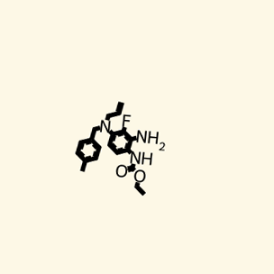 C=CCN(Cc1ccc(C)cc1)c1ccc(NC(=O)OCC)c(N)c1F